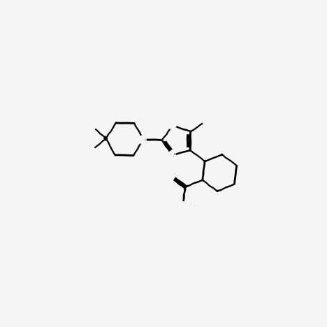 COC(=O)C1CCCCC1c1nc(N2CCC(F)(F)CC2)sc1Br